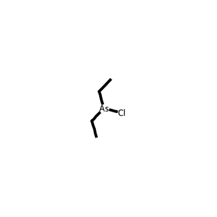 CC[As](Cl)CC